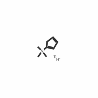 C[N+](C)(C)C1=CC=CC1.[H-].[Ti]